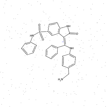 NCc1ccc(N/C(=C2\C(=O)Nc3ccc(S(=O)(=O)Nc4ccccc4)cc32)c2ccccc2)cc1